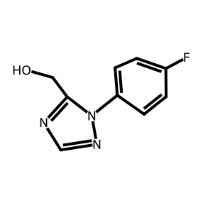 OCc1ncnn1-c1ccc(F)cc1